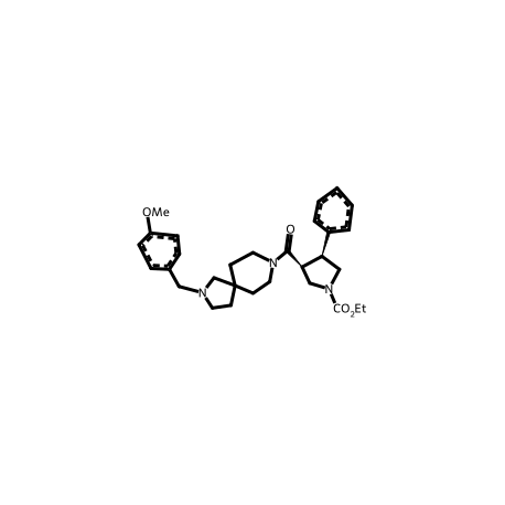 CCOC(=O)N1C[C@H](c2ccccc2)[C@H](C(=O)N2CCC3(CCN(Cc4ccc(OC)cc4)C3)CC2)C1